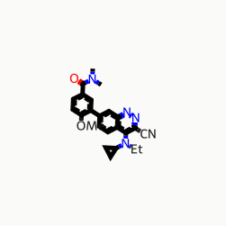 CCN(c1c(C#N)nnc2cc(-c3cc(C(=O)N(C)C)ccc3OC)ccc12)C1CC1